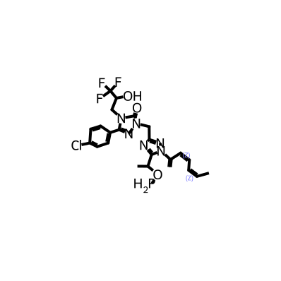 C=C(/C=C\C=C/C)n1nc(Cn2nc(-c3ccc(Cl)cc3)n(CC(O)C(F)(F)F)c2=O)nc1C(C)OP